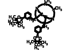 CN1CCN(C)CCN2CCN(C)CCN(Cc3cccc(B4OC(C)(C)C(C)(C)O4)c3)CCN(CC1)CCN(C)CCN(Cc1cccc(B3OC(C)(C)C(C)(C)O3)c1)CC2